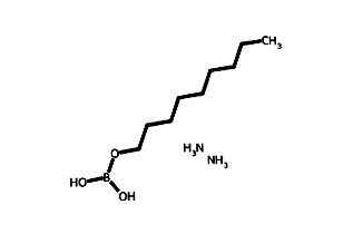 CCCCCCCCCOB(O)O.N.N